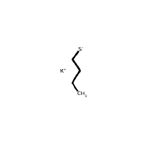 CCCC[S-].[K+]